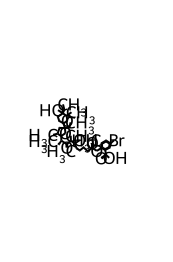 CCC(C(=O)C(C)C(O)C(C)CCCC(=O)Oc1c(C)cc(Br)cc1C(=O)O)C1OC(CC)(C2CCC(O)(CC)C(C)O2)CC1C